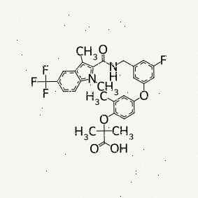 Cc1cc(Oc2cc(F)cc(CNC(=O)c3c(C)c4cc(C(F)(F)F)ccc4n3C)c2)ccc1OC(C)(C)C(=O)O